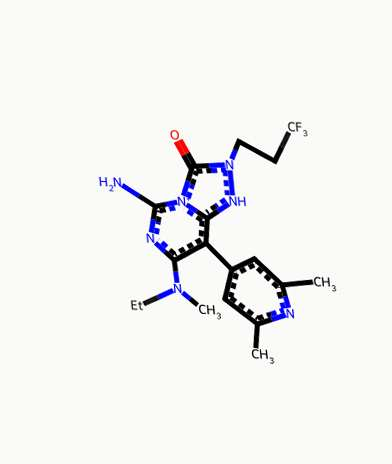 CCN(C)c1nc(N)[n+]2c(=O)n(CCC(F)(F)F)[nH]c2c1-c1cc(C)nc(C)c1